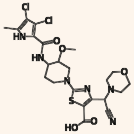 COC1CN(c2nc(C(C#N)N3CCOCC3)c(C(=O)O)s2)CCC1NC(=O)c1[nH]c(C)c(Cl)c1Cl